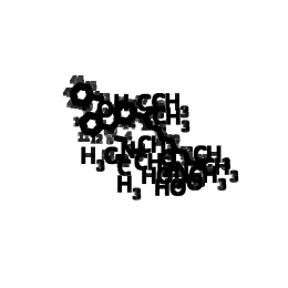 CC(C)N(CC[C@H](c1ccccc1)c1cc(C(=CCCCCCC(N(C(=O)O)C(=O)O)C(C)(C)C)C(C)(C)C)ccc1OCc1ccccc1)C(C)C